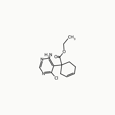 CCOC(=O)C1(c2c(N)ncnc2Cl)CC=CCC1